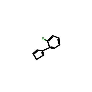 Fc1ccccc1C1=[C]CC=C1